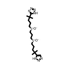 CC(C)(CCC[S+]([O-])CCC[S+]([O-])CCCC(C)(C)c1nnn[nH]1)c1cnn[nH]1